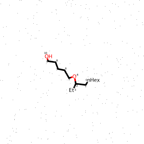 CCCCCCCC(CC)OCCCCCO